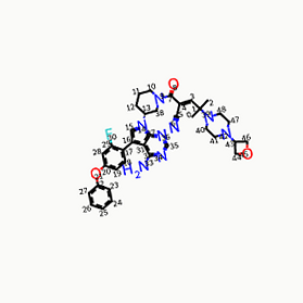 CC(C)(C=C(C#N)C(=O)N1CCC[C@@H](n2cc(-c3ccc(Oc4ccccc4)cc3F)c3c(N)ncnc32)C1)N1CCN(C2COC2)CC1